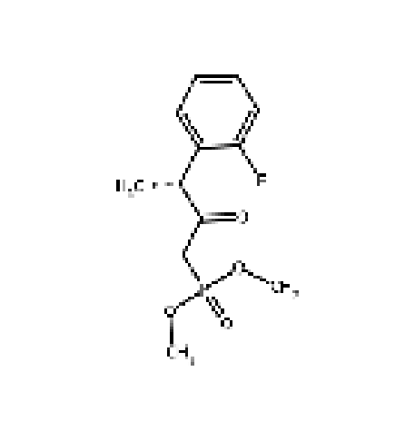 COP(=O)(CC(=O)[C@H](C)c1ccccc1F)OC